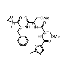 COC[C@H](NC(=O)c1cnc(C)s1)C(=O)N[C@H](COC)C(=O)N[C@@H](Cc1ccccc1)C(=O)[C@@]1(C)CO1